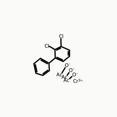 CC(=O)[O-].CC(=O)[O-].CC(=O)[O-].Clc1cccc(-c2ccccc2)c1Cl.[Cr+3]